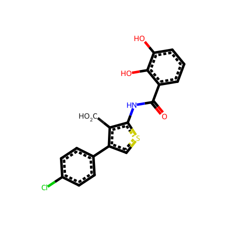 O=C(Nc1scc(-c2ccc(Cl)cc2)c1C(=O)O)c1cccc(O)c1O